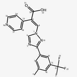 Cc1cc(-c2ncn(/C=C(/C(=O)O)c3ccncc3)n2)cc(C(F)(F)F)c1